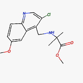 COC(=O)C(C)(C)NCc1c(Cl)cnc2ccc(OC)cc12